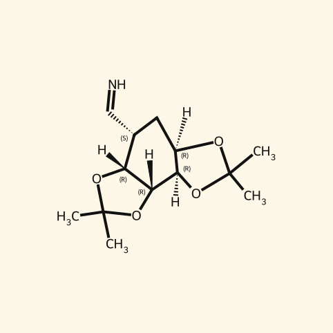 CC1(C)O[C@@H]2[C@H](O1)[C@H](C=N)C[C@H]1OC(C)(C)O[C@@H]21